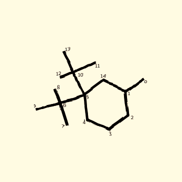 CC1CC[CH]C(C(C)(C)C)(C(C)(C)C)C1